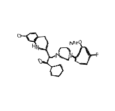 COc1cc(F)ccc1N1CCN(C(C(=O)C2CCCCC2)C2CCc3ccc(Cl)cc3N2)CC1